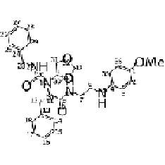 COc1ccc(NCCNC(=O)[C@H](Cc2ccccc2)N(C(=O)NCc2ccccc2)C2=COCO2)cc1